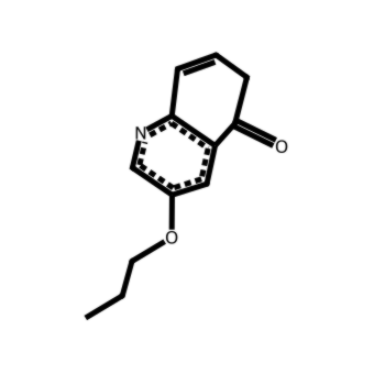 CCCOc1cnc2c(c1)C(=O)CC=C2